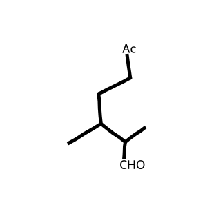 CC(=O)CCC(C)C(C)C=O